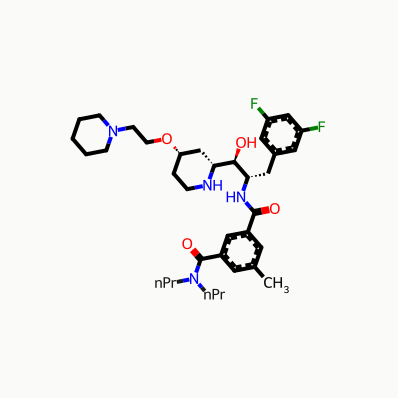 CCCN(CCC)C(=O)c1cc(C)cc(C(=O)N[C@@H](Cc2cc(F)cc(F)c2)[C@H](O)[C@H]2C[C@@H](OCCN3CCCCC3)CCN2)c1